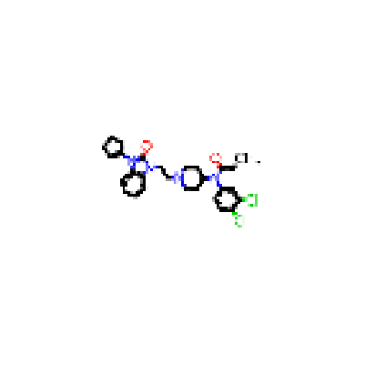 CCC(=O)N(c1ccc(Cl)c(Cl)c1)C1CCN(CCn2c(=O)n(C3=CCCC3)c3ccccc32)CC1